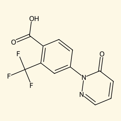 O=C(O)c1ccc(-n2ncccc2=O)cc1C(F)(F)F